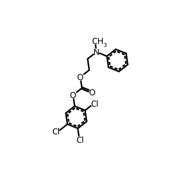 CN(CCOC(=O)Oc1cc(Cl)c(Cl)cc1Cl)c1ccccc1